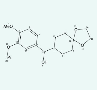 COc1ccc(C(O)C2CCC3(CC2)OCCO3)cc1OC(C)C